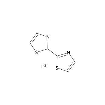 [Ir+3].c1csc(-c2nccs2)n1